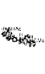 COC(=O)N[C@@H](C(=O)N1CCC[C@@H]1c1ncc([C@H]2CC[C@H](c3cnc([C@H]4CCCN4C(=O)[C@H](NC(C)=O)C(C)C)[nH]3)CC2)[nH]1)C(C)C